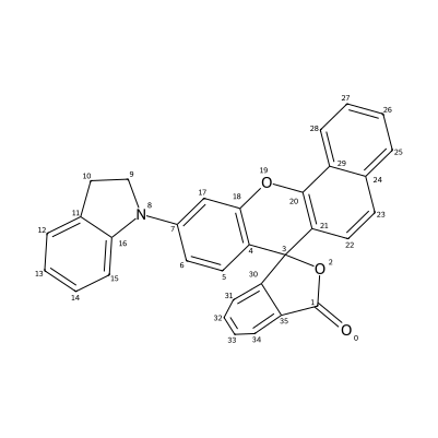 O=C1OC2(c3ccc(N4CCc5ccccc54)cc3Oc3c2ccc2ccccc32)c2ccccc21